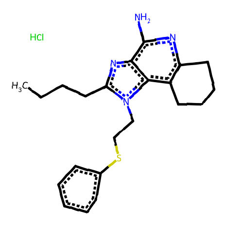 CCCCc1nc2c(N)nc3c(c2n1CCSc1ccccc1)CCCC3.Cl